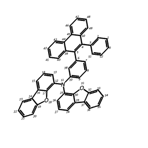 c1ccc(-c2c(-c3cccc(N(c4cccc5c4oc4ccccc45)c4cccc5c4oc4ccccc45)c3)c3ccccc3c3ccccc23)cc1